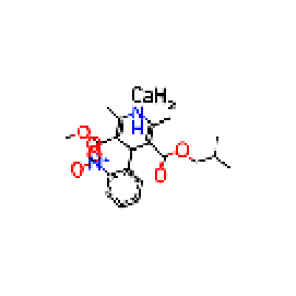 COC(=O)C1=C(C)NC(C)=C(C(=O)OCC(C)C)C1c1ccccc1[N+](=O)[O-].[CaH2]